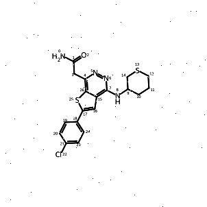 NC(=O)Cc1nnc(NC2CCCSC2)c2cc(-c3ccc(Cl)cc3)sc12